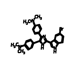 CN(C)c1ccc(-c2nc(-c3c[nH]c4ccc(Br)cc34)[nH]c2-c2ccc(N(C)C)cc2)cc1